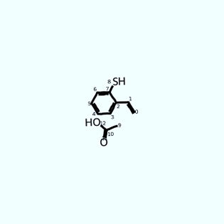 C=Cc1ccccc1S.CC(=O)O